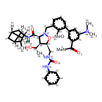 CNC(=O)c1cc(-c2cccc(CN3O[C@@H](CNC(=O)Nc4ccccc4)[C@@H]([C@H](C)O)[C@H]3C(=O)N[C@H]3C[C@H]4C[C@@H]([C@@H]3C)C4(C)C)c2OC)cc(N(C)C)c1